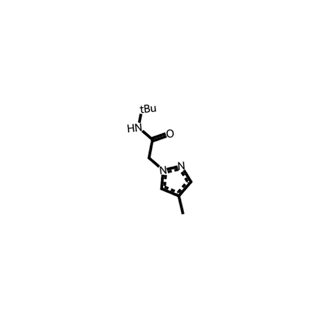 Cc1cnn(CC(=O)NC(C)(C)C)c1